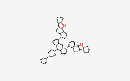 c1ccc(-c2ccc(-c3c4cccc(-c5cccc6c5ccc5c7ccccc7oc65)c4cc4c(-c5cccc6c5ccc5c7ccccc7oc65)cccc34)cc2)cc1